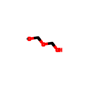 [O]COCO